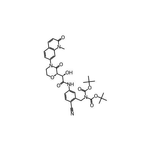 Cn1c(=O)ccc2ccc(N3CCO[C@H]([C@@H](O)C(=O)Nc4ccc(C#N)c(CN(C(=O)OC(C)(C)C)C(=O)OC(C)(C)C)c4)C3=O)cc21